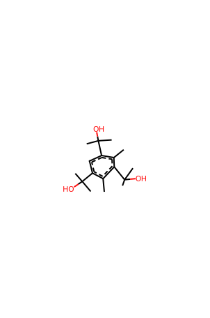 Cc1c(C(C)(C)O)cc(C(C)(C)O)c(C)c1C(C)(C)O